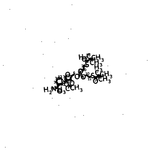 CC1(C)OC2C(COP(OCCSC(=O)C(C)(C)C)OCCSC(=O)C(C)(C)C)OCC2(N2C=CCC(C(N)=O)=C2)O1